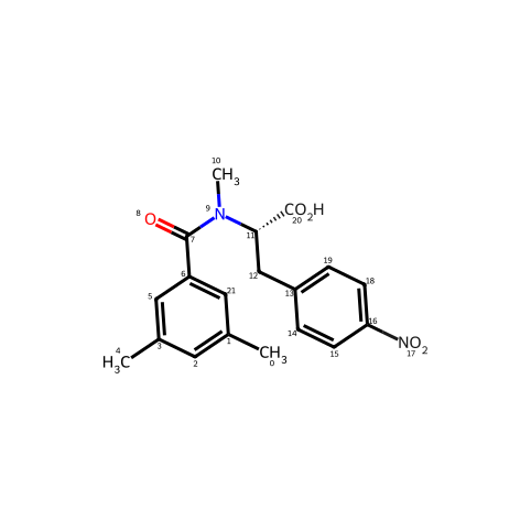 Cc1cc(C)cc(C(=O)N(C)[C@@H](Cc2ccc([N+](=O)[O-])cc2)C(=O)O)c1